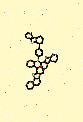 c1ccc(N(c2ccc(-c3cccc4c3oc3ccccc34)cc2)c2cccc3c2sc2ccccc23)c(-c2cccc3c2oc2c4ccccc4ccc32)c1